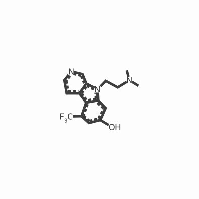 CN(C)CCn1c2cnccc2c2c(C(F)(F)F)cc(O)cc21